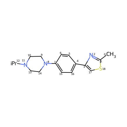 Cc1nc(-c2ccc(N3CCN(C(C)C)CC3)cc2)cs1